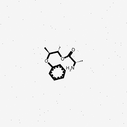 C[C@H](N)C(=O)O[C@@H](C)[C@H](C)Oc1ccccc1